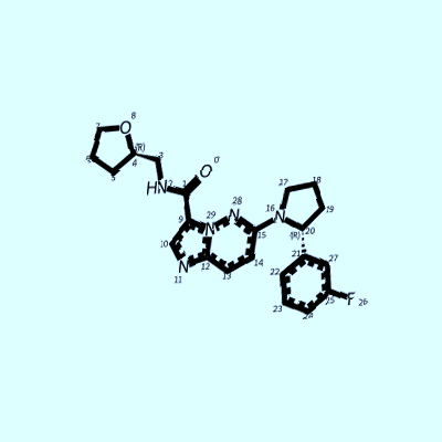 O=C(NC[C@H]1CCCO1)c1cnc2ccc(N3CCC[C@@H]3c3cccc(F)c3)nn12